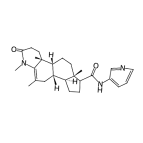 CC1=C2N(C)C(=O)CC[C@]2(C)[C@@H]2CC[C@]3(C)C(C(=O)Nc4cccnc4)CC[C@H]3[C@@H]2C1